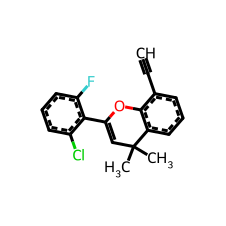 C#Cc1cccc2c1OC(c1c(F)cccc1Cl)=CC2(C)C